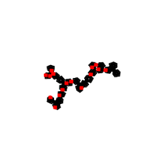 c1ccc(N(c2ccc(-c3ccc(-c4ccc5c6ccccc6n(-c6cccc(-c7ccc(N(c8ccc(-c9ccc(-c%10ccc%11c%12ccccc%12n(-c%12ccccc%12)c%11c%10)cc9)cc8)c8ccc(-c9ccc%10c(c9)c9ccccc9n%10-c9ccccc9)cc8)cc7)c6)c5c4)cc3)cc2)c2ccc(-c3ccc4c(c3)c3ccccc3n4-c3ccccc3)c3ccccc23)cc1